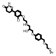 CC(C)OCCOCc1ccc(OCC(O)CNCCOc2ccc(C3=NNC(=O)CC3)cc2Cl)cc1